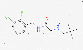 CC(C)(C)CNCC(=O)NCc1cccc(Cl)c1F